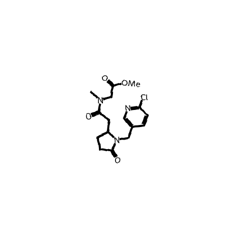 COC(=O)CN(C)C(=O)CC1CCC(=O)N1Cc1ccc(Cl)nc1